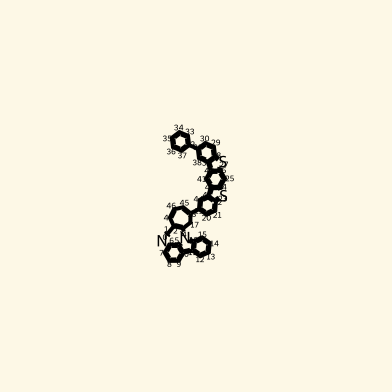 N#CC1=C(n2c3ccccc3c3ccccc32)CC(c2ccc3sc4cc5sc6ccc(-c7ccccc7)cc6c5cc4c3c2)=CC=C1